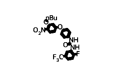 CCCCOc1cc(Oc2ccc(NC(=O)Nc3cc(C(F)(F)F)ccc3F)cc2)ccc1[N+](=O)[O-]